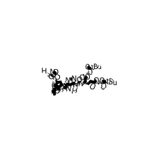 CC1(C)O[C@@H]2[C@@H](COS(N)(=O)=O)C[C@@H](n3cnc4c(NC(=O)N[C@@H](CCC(=O)OCOC(=O)C(C)(C)C)C(=O)OCOC(=O)C(C)(C)C)ncnc43)[C@@H]2O1